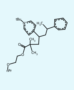 CCCOCCOC(=O)C(C)(C)CC(CC(C)c1ccccc1)c1cc[n+](C(C)(C)C)cc1